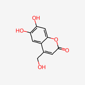 O=c1cc(CO)c2cc(O)c(O)cc2o1